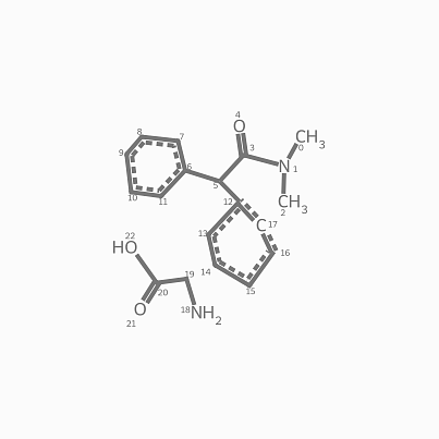 CN(C)C(=O)C(c1ccccc1)c1ccccc1.NCC(=O)O